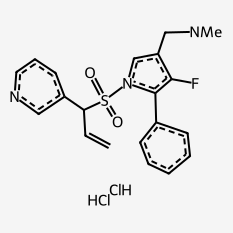 C=CC(c1cccnc1)S(=O)(=O)n1cc(CNC)c(F)c1-c1ccccc1.Cl.Cl